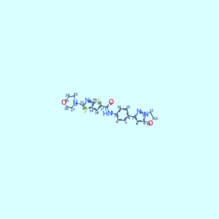 O=C(Nc1ccc(-c2cc3n(n2)CCO3)cc1)c1cc2sc(N3CCOCC3)nc2s1